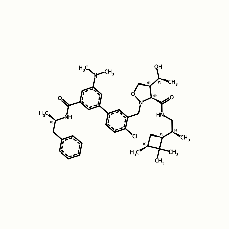 C[C@H](Cc1ccccc1)NC(=O)c1cc(-c2ccc(Cl)c(CN3OC[C@@H]([C@H](C)O)[C@H]3C(=O)NC[C@@H](C)[C@@H]3C[C@H](C)C3(C)C)c2)cc(N(C)C)c1